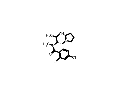 CC(C)[C@H](CN1CCCC1)N(C)C(=O)c1ccc(Cl)cc1Cl